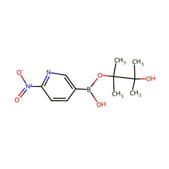 CC(C)(O)C(C)(C)OB(O)c1ccc([N+](=O)[O-])nc1